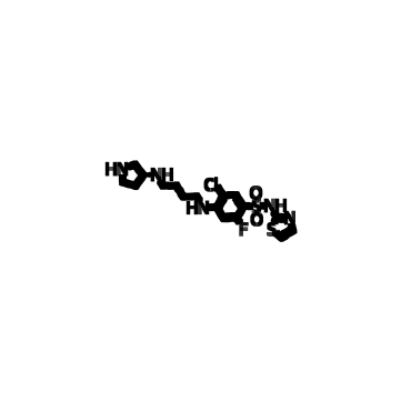 O=S(=O)(Nc1nccs1)c1cc(Cl)c(NCCCCN[C@H]2CCNC2)cc1F